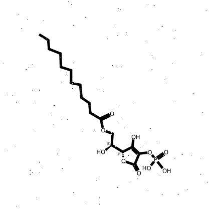 CCCCCCCCCCCC(=O)OC[C@H](O)[C@H]1OC(=O)C(OP(=O)(O)O)=C1O